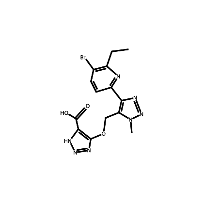 CCc1nc(-c2nnn(C)c2COc2nn[nH]c2C(=O)O)ccc1Br